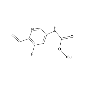 C=Cc1ncc(NC(=O)OC(C)(C)C)cc1F